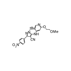 COCCOc1cc(Nc2c(C#N)c(-c3ccc([N+](=O)[O-])cc3)nn2C(C)(C)C)ccn1